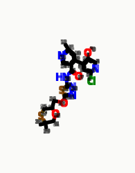 COc1cnc(Cl)cc1-c1cc(C)ncc1C(=O)Nc1nnc(OCC2CSC(C)(C)CO2)s1